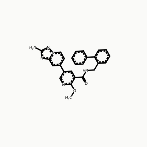 COc1ncc(-c2ccn3nc(N)nc3c2)cc1C(=O)NCc1ccccc1-c1ccccc1